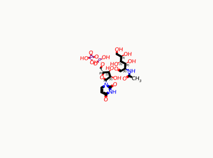 CC(=O)N[C@@H](C=O)[C@@H](O)[C@H](O)[C@H](O)CO.O=c1ccn([C@@H]2O[C@H](COP(=O)(O)OP(=O)(O)O)[C@@H](O)[C@H]2O)c(=O)[nH]1